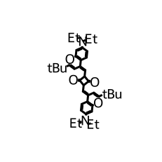 CCN(CC)c1ccc2c(c1)OC(C(C)(C)C)=C/C2=C\C1C(=O)C(/C=C2\C=C(C(C)(C)C)Oc3cc(N(CC)CC)ccc32)C1=O